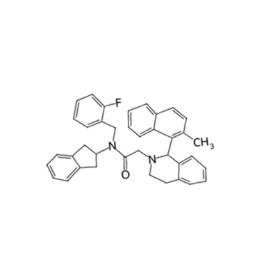 Cc1ccc2ccccc2c1C1c2ccccc2CCN1CC(=O)N(Cc1ccccc1F)C1Cc2ccccc2C1